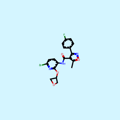 Cc1onc(-c2ccc(F)cc2)c1C(=O)Nc1ccc(Br)nc1OC1COC1